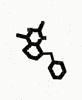 O=c1[nH]c(=O)c2cccc(Cc3ccccc3)c2[nH]1